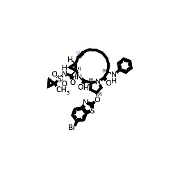 CC1(S(=O)(=O)NC(=O)[C@@]23C[C@H]2/C=C\CCCCC[C@H](Nc2ccccc2)C(=O)N2C[C@H](Oc4nc5ccc(Br)cc5s4)C[C@H]2C(=O)N3)CC1